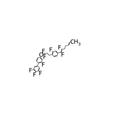 C/C=C/CC/C(F)=C(\F)c1ccc(CCC(F)(F)Oc2ccc(-c3cc(F)c(F)c(F)c3)c(F)c2)c(F)c1